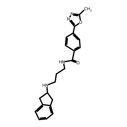 Cc1nnc(-c2ccc(C(=O)NCCCNC3Cc4ccccc4C3)cc2)o1